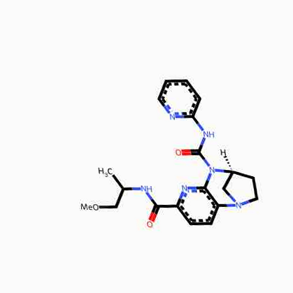 COCC(C)NC(=O)c1ccc2c(n1)N(C(=O)Nc1ccccn1)[C@H]1CCN2C1